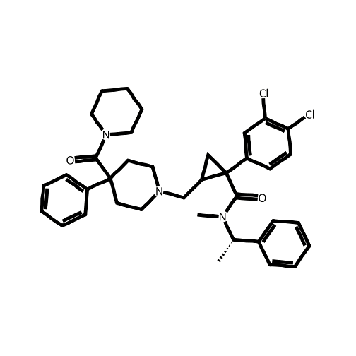 C[C@@H](c1ccccc1)N(C)C(=O)C1(c2ccc(Cl)c(Cl)c2)CC1CN1CCC(C(=O)N2CCCCC2)(c2ccccc2)CC1